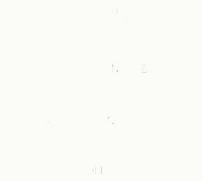 CCN(CC(=O)O)c1csc(O)n1